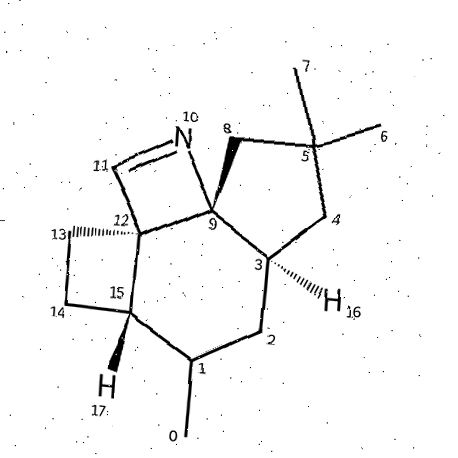 CC1C[C@@H]2CC(C)(C)C[C@@]23N=C[C@@]32CC[C@@H]12